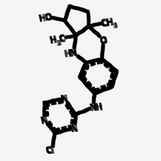 CC12CCC(O)C1(C)Nc1cc(Nc3ncnc(Cl)n3)ccc1O2